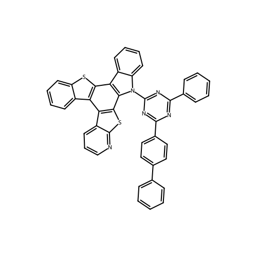 c1ccc(-c2ccc(-c3nc(-c4ccccc4)nc(-n4c5ccccc5c5c6sc7ccccc7c6c6c7cccnc7sc6c54)n3)cc2)cc1